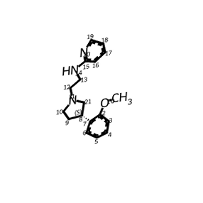 COc1ccccc1[C@@H]1CCN(CCNc2ccccn2)C1